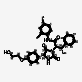 Cc1cc(I)ccc1NC(=O)C([C@@H](C)c1ccccc1)N1C(=O)N[C@H](c2ccc(OCCO)cc2)C1=O